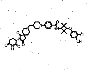 CC1(C)C(NC(=O)c2ccc(N3CCC(CN4CCC5(CC4)CC(=O)N([C@@H]4CCC(=O)NC4=O)C5=O)CC3)cc2)C(C)(C)C1Oc1ccc(C#N)c(Cl)c1